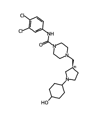 O=C(Nc1ccc(Cl)c(Cl)c1)N1CCN(C[C@H]2CCN(C3CCC(O)CC3)C2)CC1